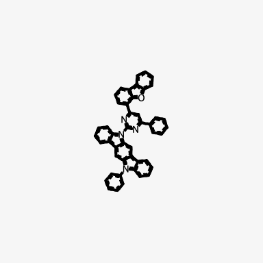 c1ccc(-c2cc(-c3cccc4c3oc3ccccc34)nc(-n3c4ccccc4c4cc5c(cc43)c3ccccc3n5-c3ccccc3)n2)cc1